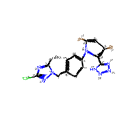 CCCCc1nc(Cl)nn1Cc1ccc(-n2c(Br)cc(Br)c2-c2nnn[nH]2)cc1